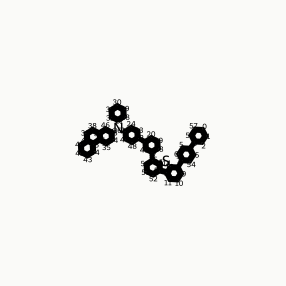 c1ccc(-c2ccc(-c3cccc4c3sc3c(-c5cccc(-c6ccc(N(c7ccccc7)c7ccc8c(ccc9ccccc98)c7)cc6)c5)cccc34)cc2)cc1